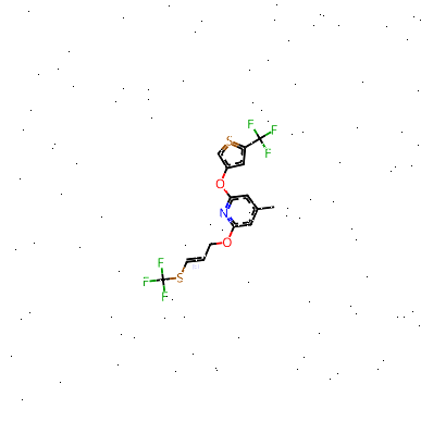 Cc1cc(OC/C=C/SC(F)(F)F)nc(Oc2csc(C(F)(F)F)c2)c1